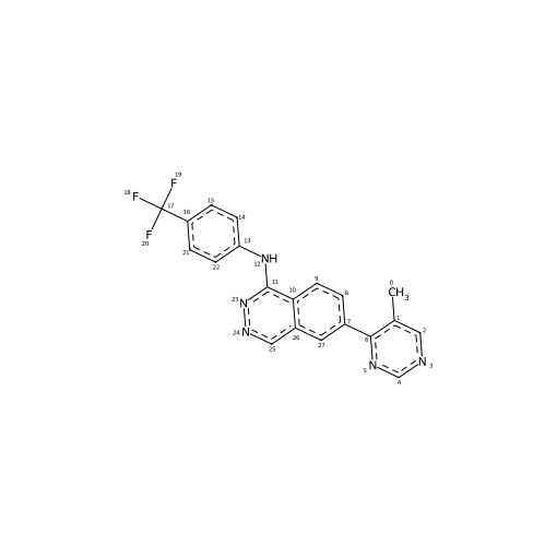 Cc1cncnc1-c1ccc2c(Nc3ccc(C(F)(F)F)cc3)nncc2c1